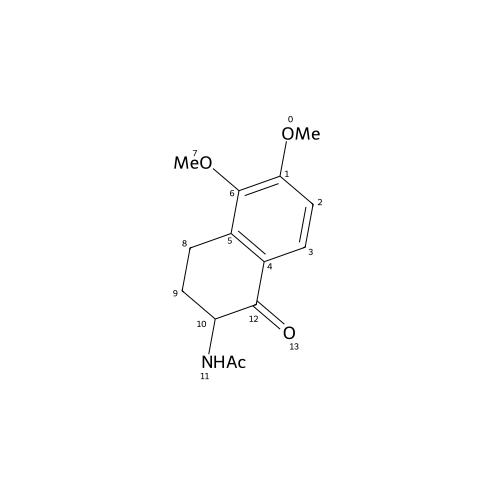 COc1ccc2c(c1OC)CCC(NC(C)=O)C2=O